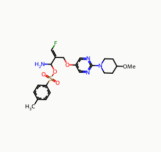 COC1CCN(c2ncc(OC/C(=C\F)C(N)OS(=O)(=O)c3ccc(C)cc3)cn2)CC1